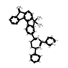 C=C1c2ccccc2-c2c1ccc1c2-c2ccc(C3=NC(c4ccccc4)=NC(c4ccccc4)CC3)cc2C1(C)C